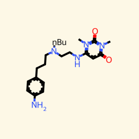 CCCCN(CCCc1ccc(N)cc1)CCNc1cc(=O)n(C)c(=O)n1C